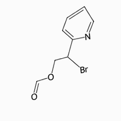 O=COCC(Br)c1ccccn1